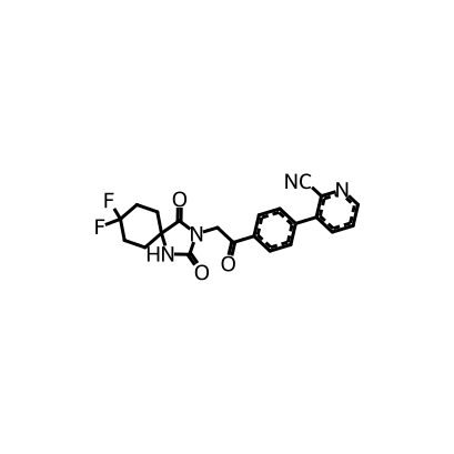 N#Cc1ncccc1-c1ccc(C(=O)CN2C(=O)NC3(CCC(F)(F)CC3)C2=O)cc1